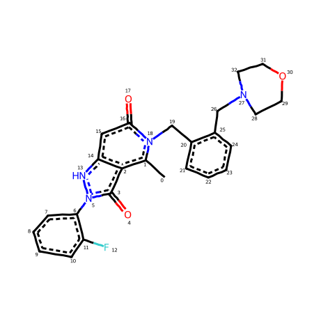 Cc1c2c(=O)n(-c3ccccc3F)[nH]c2cc(=O)n1Cc1ccccc1CN1CCOCC1